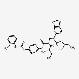 CCC(O)OC(=O)C(CN(C(=O)Cc1ccc(NC(=O)Nc2ccccc2C)cc1)C(=O)[C@@H](N)CS)c1ccc2c(c1)OCO2